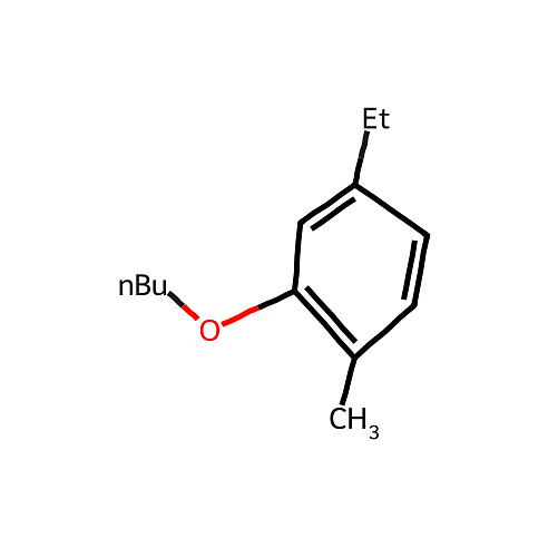 CCCCOc1cc(CC)ccc1C